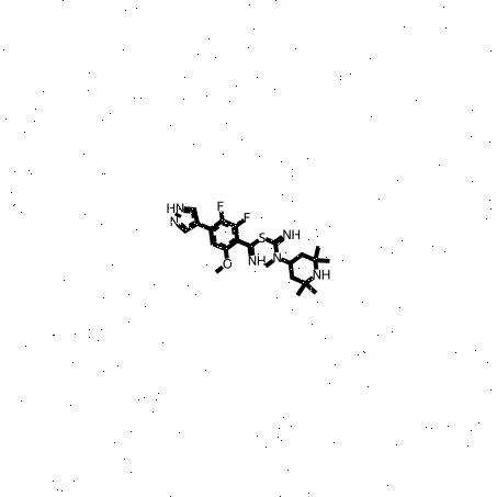 COc1cc(-c2cn[nH]c2)c(F)c(F)c1C(=N)SC(=N)N(C)C1CC(C)(C)NC(C)(C)C1